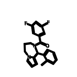 Cc1ccccc1C1c2cccn2CCCN1C(=O)c1cc(F)cc(F)c1